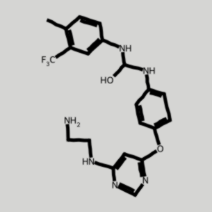 Cc1ccc(NC(O)Nc2ccc(Oc3cc(NCCN)ncn3)cc2)cc1C(F)(F)F